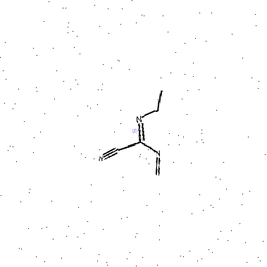 C=N/C(C#N)=N\CC